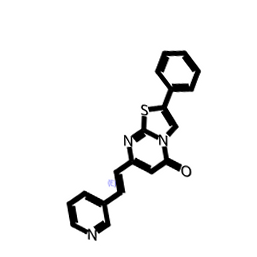 O=c1cc(/C=C/c2cccnc2)nc2sc(-c3ccccc3)cn12